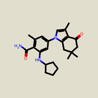 Cc1cc(-n2cc(C)c3c2CC(C)(C)CC3=O)cc(NC2CCCC2)c1C(N)=O